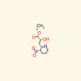 CCOC(=O)C(O)=Cc1ncccc1[N+](=O)[O-]